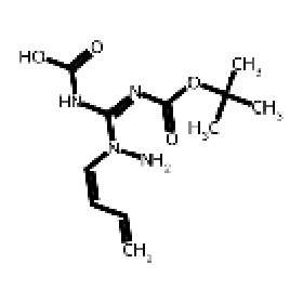 C=C/C=C\N(N)/C(=N\C(=O)OC(C)(C)C)NC(=O)O